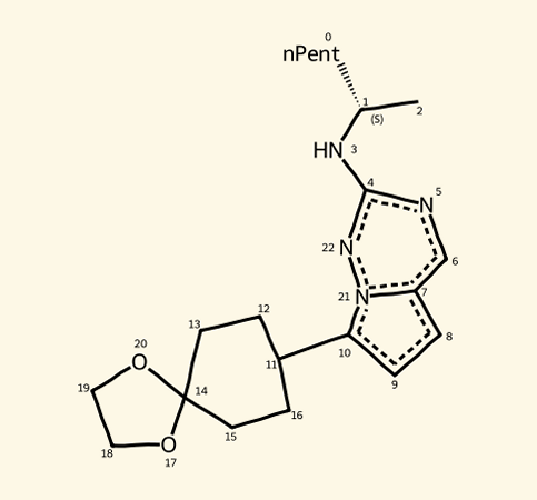 CCCCC[C@H](C)Nc1ncc2ccc(C3CCC4(CC3)OCCO4)n2n1